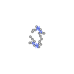 c1ccc(-c2ccc(-c3cccc4c3c3cc5ccccc5cc3n4-c3cccc(-c4nc(-c5cc6ccc(-c7cccc(-c8ccc(-c9cccc%10c9c9cc%11ccccc%11cc9n%10-c9cccc(-c%10nc(-c%11ccc%12c(ccc%13ccccc%13%12)c%11)c%11ccccc%11n%10)c9)cc8)c7)cc6c6ccccc56)c5ccccc5n4)c3)cc2)cc1